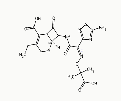 CCC1=C(C(=O)O)C2C(=O)C(NC(=O)/C(=N\OC(C)(C)C(=O)O)c3nsc(N)n3)[C@H]2SC1